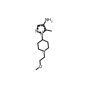 COCCN1CCC(n2ncc(N)c2C)CC1